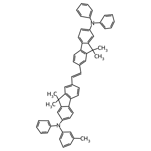 Cc1cccc(N(c2ccccc2)c2ccc3c(c2)C(C)(C)c2cc(/C=C/c4ccc5c(c4)C(C)(C)c4cc(N(c6ccccc6)c6ccccc6)ccc4-5)ccc2-3)c1